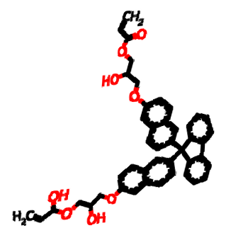 C=CC(=O)OCC(O)COc1ccc2cc(C3(c4ccc5cc(OCC(O)COC(O)C=C)ccc5c4)c4ccccc4-c4ccccc43)ccc2c1